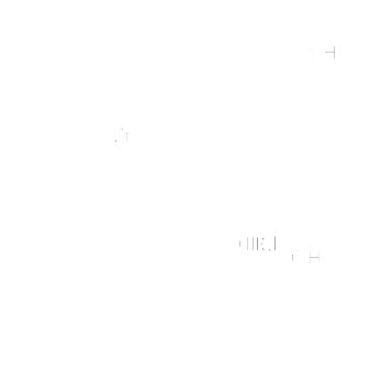 CCc1cc(C2=[C]([Zr][C]3=C(c4cc(CC)cc5ccccc45)C=CC3)CC=C2)c2ccccc2c1.Cl.Cl